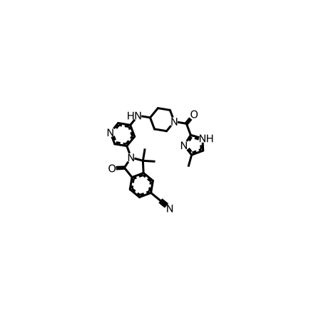 Cc1c[nH]c(C(=O)N2CCC(Nc3cncc(N4C(=O)c5ccc(C#N)cc5C4(C)C)c3)CC2)n1